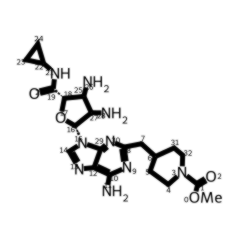 COC(=O)N1CCC(Cc2nc(N)c3ncn([C@@H]4O[C@H](C(=O)NC5CC5)C(N)C4N)c3n2)CC1